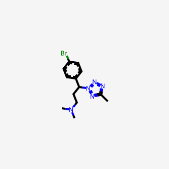 Cc1nnn(C(CCN(C)C)c2ccc(Br)cc2)n1